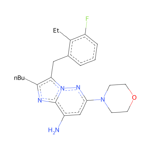 CCCCc1nc2c(N)cc(N3CCOCC3)nn2c1Cc1cccc(F)c1CC